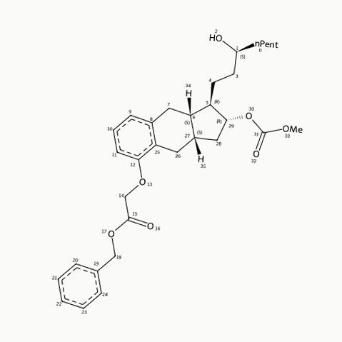 CCCCC[C@H](O)CC[C@@H]1[C@H]2Cc3cccc(OCC(=O)OCc4ccccc4)c3C[C@H]2C[C@H]1OC(=O)OC